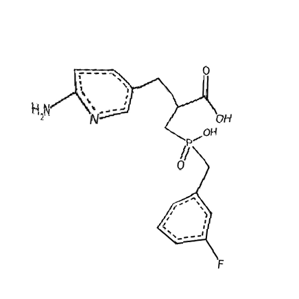 Nc1ccc(CC(CP(=O)(O)Cc2cccc(F)c2)C(=O)O)cn1